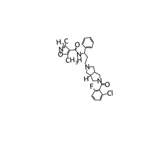 Cc1noc(C)c1C(=O)NC(CCN1CC2CN(C(=O)c3c(F)cccc3Cl)C[C@@H]2C1)c1ccccc1